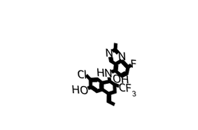 CC=C1CC(O)(C(F)(F)F)C(Nc2ccc(F)c3nc(C)ncc23)c2cc(Cl)c(O)cc21